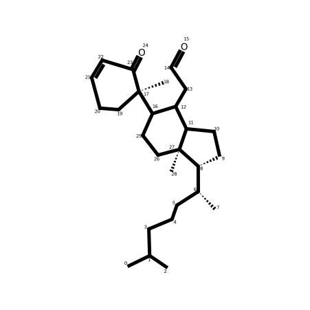 CC(C)CCC[C@@H](C)[C@H]1CCC2C(CC=O)C([C@@]3(C)CCC=CC3=O)CC[C@@]21C